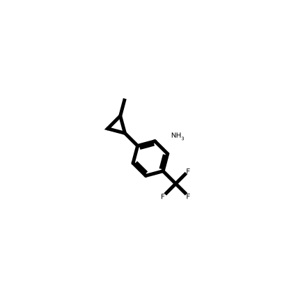 CC1CC1c1ccc(C(F)(F)F)cc1.N